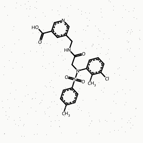 Cc1ccc(S(=O)(=O)N(CC(=O)NCc2cncc(C(=O)O)c2)c2cccc(Cl)c2C)cc1